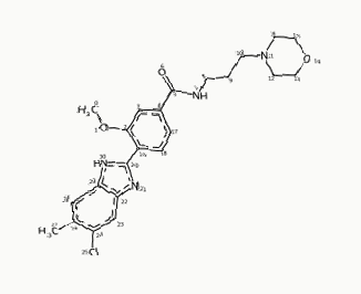 COc1cc(C(=O)NCCCN2CCOCC2)ccc1-c1nc2cc(Cl)c(C)cc2[nH]1